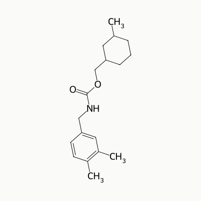 Cc1ccc(CNC(=O)OCC2CCCC(C)C2)cc1C